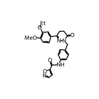 CCOc1cc(C2=NN(Cc3ccc(NC(=O)c4ccno4)cc3)C(=O)CC2)ccc1OC